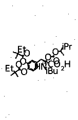 CCC(C)N[C@@](Cc1ccc(OC(=O)C(C)(C)CC)c(OC(=O)C(C)(C)CC)c1)(OC(=O)OC(C)C(C)C)C(=O)O